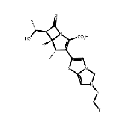 C[C@@H](O)[C@H]1C(=O)N2C(C(=O)O)=C(C3=CN4CN(SCF)C=C4S3)[C@H](C)[C@H]12